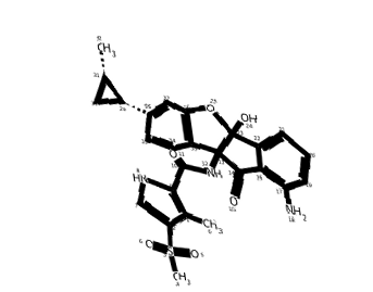 Cc1c(S(C)(=O)=O)c[nH]c1C(=O)NC12C(=O)c3c(N)cccc3C1(O)Oc1cc([C@@H]3C[C@@H]3C)ccc12